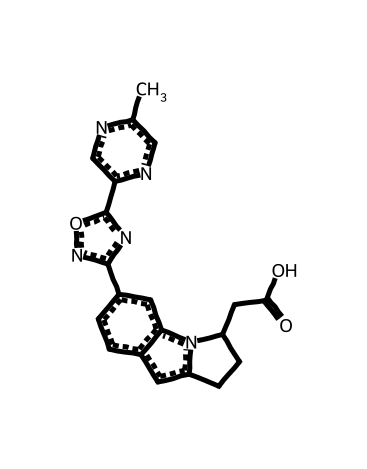 Cc1cnc(-c2nc(-c3ccc4cc5n(c4c3)C(CC(=O)O)CC5)no2)cn1